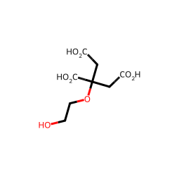 O=C(O)CC(CC(=O)O)(OCCO)C(=O)O